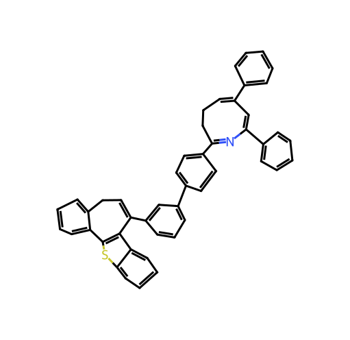 C1=C(c2cccc(-c3ccc(/C4=N/C(c5ccccc5)=C\C(c5ccccc5)=C/CC4)cc3)c2)c2c(sc3ccccc23)-c2ccccc2C1